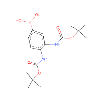 CC(C)(C)OC(=O)Nc1ccc(B(O)O)cc1NC(=O)OC(C)(C)C